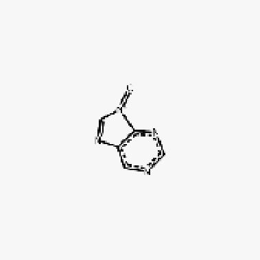 O=[N+]1C=Nc2cncnc21